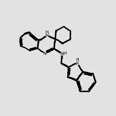 c1ccc2c(c1)N=C(NCc1cc3ccccc3[nH]1)C1(CCCCC1)N2